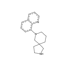 c1cnc2c(N3CCCC4(CCNC4)C3)cccc2c1